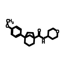 COc1ccc(C23CCCC(C(=O)NC4CCOCC4)(CC2)C3)cc1